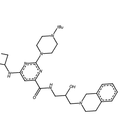 CC(C)(C)N1CCN(c2nc(NC3COC3)cc(C(=O)NCC(O)CN3CCc4ccccc4C3)n2)CC1